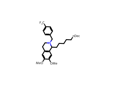 CCCCCCCCCCCCCCCC1c2cc(OC)c(OC)cc2CCN1Cc1ccc(C(F)(F)F)cc1